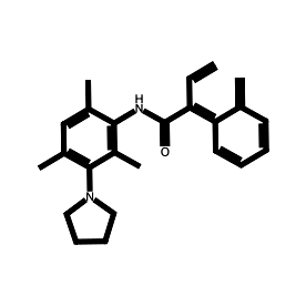 C=C/C(C(=O)Nc1c(C)cc(C)c(N2CCCC2)c1C)=c1/ccccc1=C